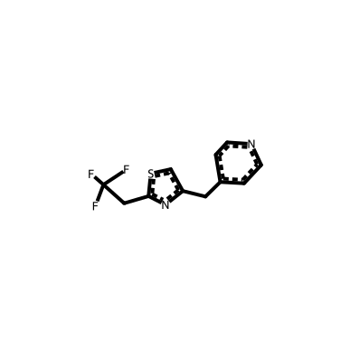 FC(F)(F)Cc1nc(Cc2ccncc2)cs1